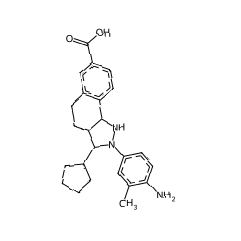 Cc1cc(N2NC3c4ccc(C(=O)O)cc4CCC3C2C2CCCC2)ccc1N